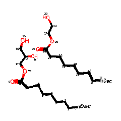 CCCCCCCCCCCCCCCCCC(=O)OCC(O)CO.CCCCCCCCCCCCCCCCCC(=O)OCCO